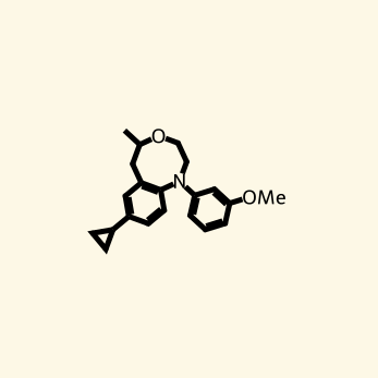 COc1cccc(N2CCOC(C)Cc3cc(C4CC4)ccc32)c1